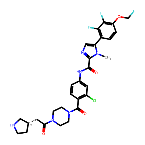 Cn1c(-c2ccc(OCF)c(F)c2F)cnc1C(=O)Nc1ccc(C(=O)N2CCN(C(=O)C[C@@H]3CCNC3)CC2)c(Cl)c1